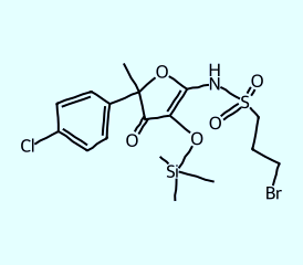 CC1(c2ccc(Cl)cc2)OC(NS(=O)(=O)CCCBr)=C(O[Si](C)(C)C)C1=O